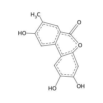 Cc1cc2c(=O)oc3cc(O)c(O)cc3c2cc1O